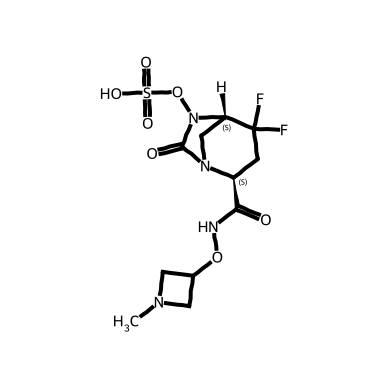 CN1CC(ONC(=O)[C@@H]2CC(F)(F)[C@@H]3CN2C(=O)N3OS(=O)(=O)O)C1